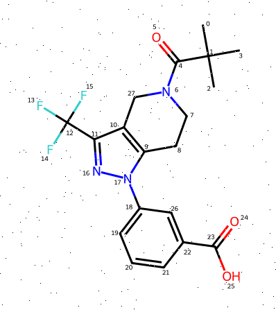 CC(C)(C)C(=O)N1CCc2c(c(C(F)(F)F)nn2-c2cccc(C(=O)O)c2)C1